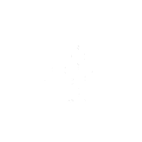 NC(=O)c1ccc(N2CCNCC2c2ccc(Cl)cc2)c(Cl)c1